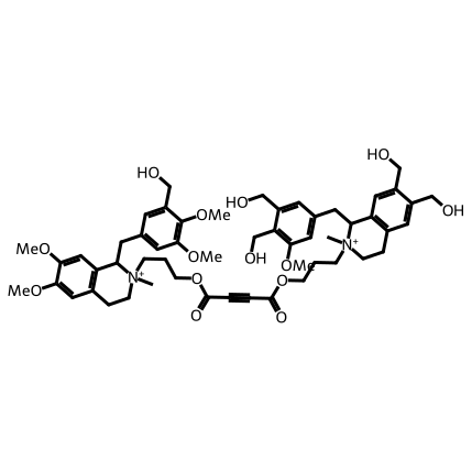 COc1cc2c(cc1OC)C(Cc1cc(CO)c(OC)c(OC)c1)[N+](C)(CCCOC(=O)C#CC(=O)OCCC[N+]1(C)CCc3cc(CO)c(CO)cc3C1Cc1cc(CO)c(CO)c(OC)c1)CC2